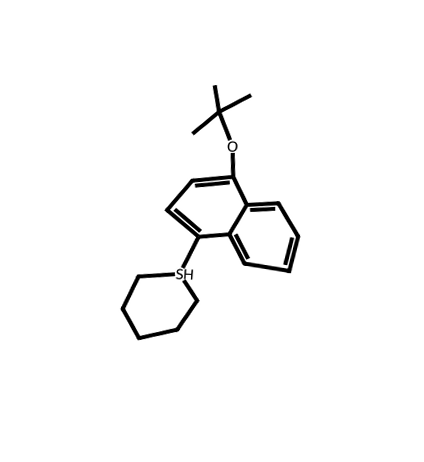 CC(C)(C)Oc1ccc([SH]2CCCCC2)c2ccccc12